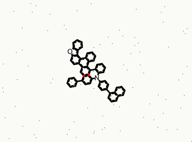 c1ccc(-c2ccc(N(c3ccc(-c4cccc5ccccc45)cc3)c3ccccc3-c3cccc4c5ccc6oc7ccccc7c6c5c5ccccc5c34)cc2)cc1